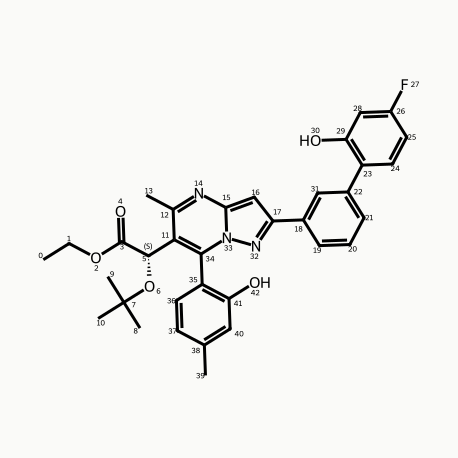 CCOC(=O)[C@@H](OC(C)(C)C)c1c(C)nc2cc(-c3cccc(-c4ccc(F)cc4O)c3)nn2c1-c1ccc(C)cc1O